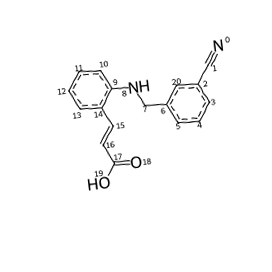 N#Cc1cccc(CNc2ccccc2C=CC(=O)O)c1